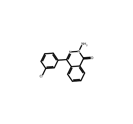 Nn1nc(-c2cccc(Cl)c2)c2ccccc2c1=O